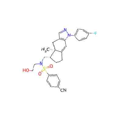 C[C@]12Cc3cnn(-c4ccc(F)cc4)c3C=C1CC[C@@H]2CN(CCO)S(=O)(=O)c1ccc(C#N)cc1